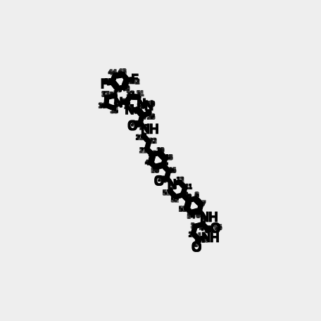 O=C1CCC(Nc2ccc(C3CCN(C(=O)Cc4ccc(CCCNC(=O)c5cnn6ccc(N7CCC[C@@H]7c7cc(F)ccc7F)nc56)cc4)CC3)cc2)C(=O)N1